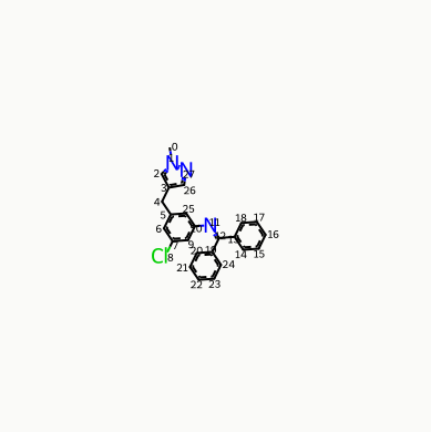 Cn1cc(Cc2cc(Cl)cc(N=C(c3ccccc3)c3ccccc3)c2)cn1